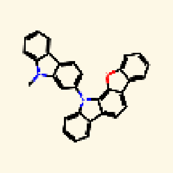 Cn1c2ccccc2c2ccc(-n3c4ccccc4c4ccc5c6ccccc6oc5c43)cc21